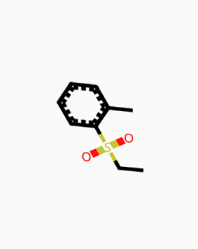 CCS(=O)(=O)c1ccccc1C